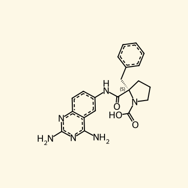 Nc1nc(N)c2cc(NC(=O)[C@@]3(Cc4ccccc4)CCCN3C(=O)O)ccc2n1